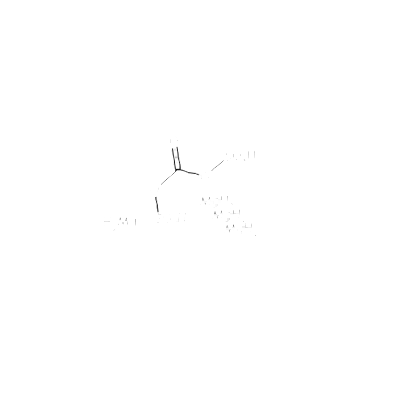 O=C(OS(=O)(=O)O)OS(=O)(=O)O.[MgH2].[MgH2].[MgH2].[MgH2]